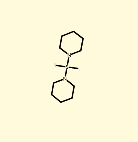 IS(I)(N1CCCCC1)N1CCCCC1